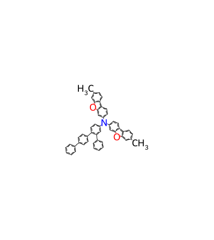 Cc1ccc2c(c1)oc1cc(N(c3ccc(-c4ccc(-c5ccccc5)cc4)c(-c4ccccc4)c3)c3ccc4c(c3)oc3cc(C)ccc34)ccc12